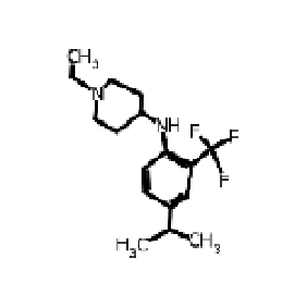 CCN1CCC(Nc2ccc(C(C)C)cc2C(F)(F)F)CC1